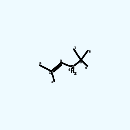 CC(C)=C[SiH2]C(C)(C)C